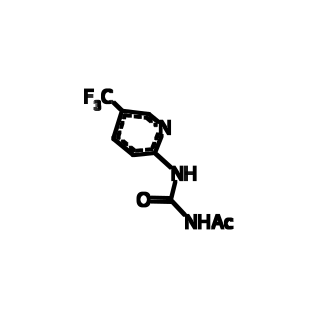 [CH2]C(=O)NC(=O)Nc1ccc(C(F)(F)F)cn1